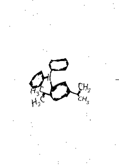 C=C(C)c1ccc(C(=C)C)c(N(c2ccccc2)c2ccccc2)c1